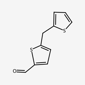 O=Cc1ccc(Cc2cccs2)s1